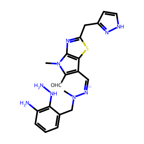 CN(Cc1cccc(N)c1NN)/N=C\c1c(C=O)n(C)c2nc(Cc3cc[nH]n3)sc12